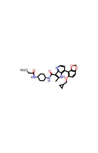 COCC(=O)N[C@H]1CC[C@@H](NC(=O)c2c(C)[nH]c3c(-c4c(OCC5CC5)ccc5c4OCO5)ccnc23)CC1